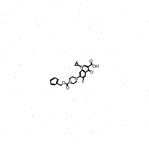 O=C(O)c1cn(C2CC2)c2cc(N3CCN(C(=O)OCc4ccccc4)CC3)c(F)cc2c1=O